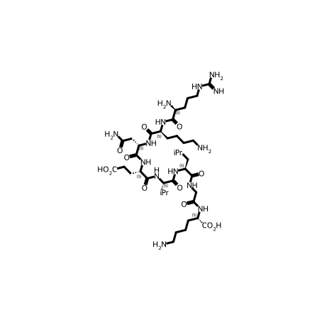 CC(C)C[C@H](NC(=O)[C@@H](NC(=O)[C@H](CCC(=O)O)NC(=O)[C@H](CC(N)=O)NC(=O)[C@H](CCCCN)NC(=O)[C@@H](N)CCCNC(=N)N)C(C)C)C(=O)NCC(=O)N[C@@H](CCCCN)C(=O)O